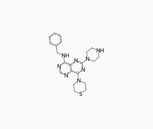 c1ccc(CNc2ncnc3c(N4CCSCC4)nc(N4CCNCC4)nc23)cc1